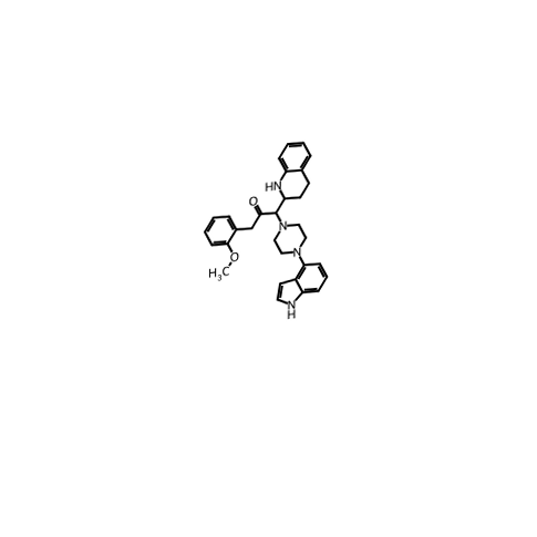 COc1ccccc1CC(=O)C(C1CCc2ccccc2N1)N1CCN(c2cccc3[nH]ccc23)CC1